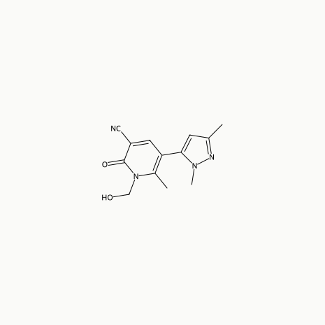 Cc1cc(-c2cc(C#N)c(=O)n(CO)c2C)n(C)n1